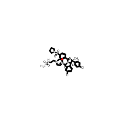 CCOc1cc(S(=O)(=O)N2CCCC2)ccc1C1=N[C@@](C)(c2ccc(Cl)cc2)[C@@](C)(c2ccc(Cl)cc2)N1C(=O)N1CCN(CCNS(C)(=O)=O)CC1